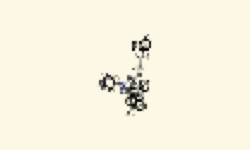 COC(=O)CCCCCCC1=C(/C=C/c2ccccc2)C(OC(C)=O)CC1=O